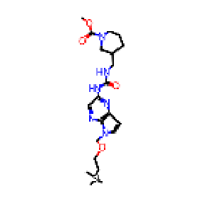 COC(=O)N1CCCC(CNC(=O)Nc2cnc3c(ccn3COCC[Si](C)(C)C)n2)C1